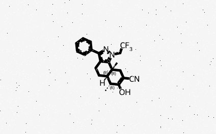 C[C@H]1C(O)=C(C#N)C[C@@]2(C)c3c(c(-c4ccccc4)nn3CC(F)(F)F)CC[C@H]12